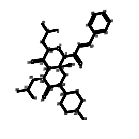 CC(C)C[C@H]1ON(C(=O)C=Cc2ccccc2)[C@H]2CN(C3CCN(C)CC3)C(=O)[C@H](CC(C)C)N2C1=O